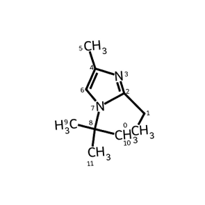 CCc1nc(C)cn1C(C)(C)C